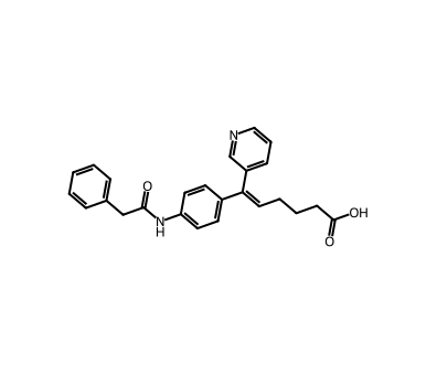 O=C(O)CCCC=C(c1ccc(NC(=O)Cc2ccccc2)cc1)c1cccnc1